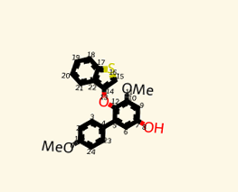 COc1ccc(-c2cc(O)cc(OC)c2Oc2csc3ccccc23)cc1